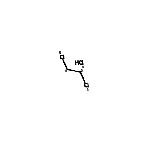 Cl.ClCCCl